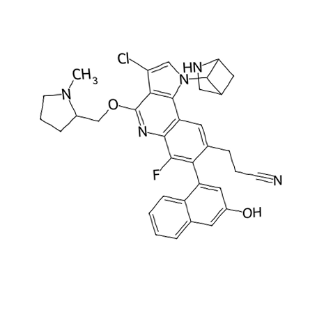 CN1CCCC1COc1nc2c(F)c(-c3cc(O)cc4ccccc34)c(CCC#N)cc2c2c1c(Cl)cn2C1C2CNC1C2